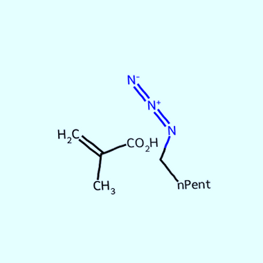 C=C(C)C(=O)O.CCCCCCN=[N+]=[N-]